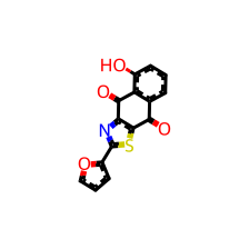 O=C1c2cccc(O)c2C(=O)c2nc(-c3ccco3)sc21